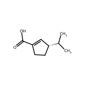 CC(C)[C@H]1C=C(C(=O)O)CC1